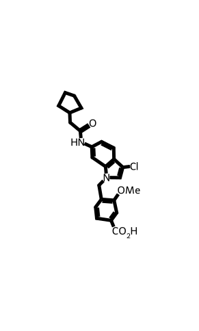 COc1cc(C(=O)O)ccc1Cn1cc(Cl)c2ccc(NC(=O)CC3CCCC3)cc21